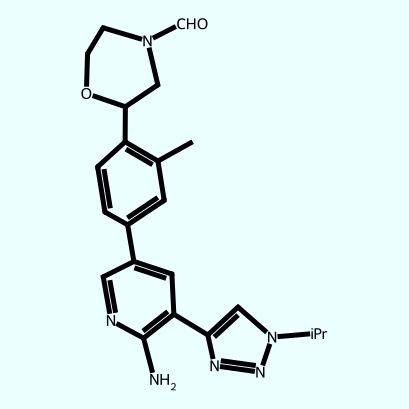 Cc1cc(-c2cnc(N)c(-c3cn(C(C)C)nn3)c2)ccc1C1CN(C=O)CCO1